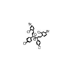 O=S(=O)(C(/C=C/c1ccc(Br)cc1Cl)c1ccc(Cl)cc1)C(/C=C/c1ccc(Br)cc1Cl)c1ccc(Cl)cc1